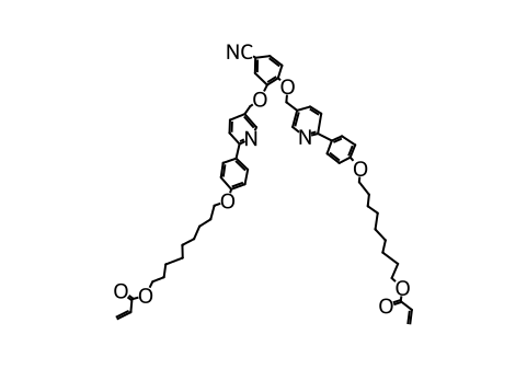 C=CC(=O)OCCCCCCCCCOc1ccc(-c2ccc(COc3ccc(C#N)cc3OCc3ccc(-c4ccc(OCCCCCCCCCOC(=O)C=C)cc4)nc3)cn2)cc1